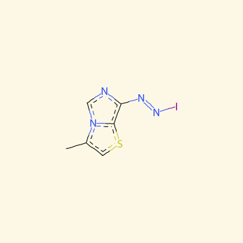 Cc1csc2c(N=NI)ncn12